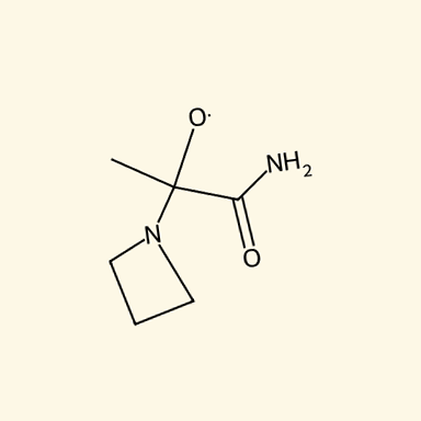 CC([O])(C(N)=O)N1CCC1